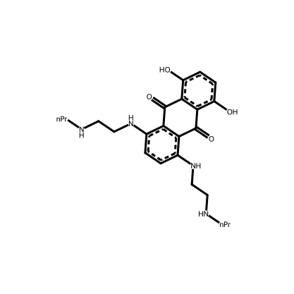 CCCNCCNc1ccc(NCCNCCC)c2c1C(=O)c1c(O)ccc(O)c1C2=O